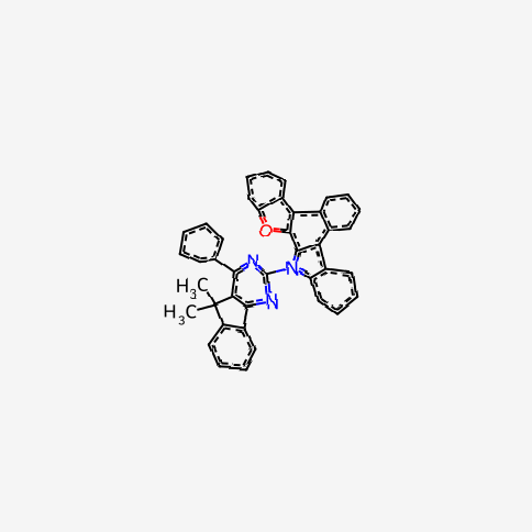 CC1(C)c2ccccc2-c2nc(-n3c4ccccc4c4c5ccccc5c5c6ccccc6oc5c43)nc(-c3ccccc3)c21